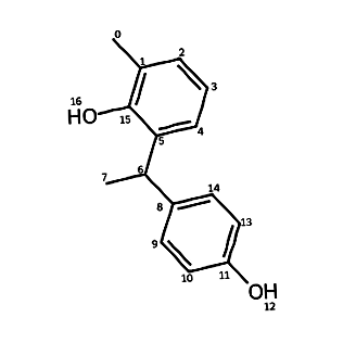 Cc1cccc(C(C)c2ccc(O)cc2)c1O